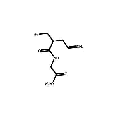 C=CC[C@H](CC(C)C)C(=O)NCC(=O)OC